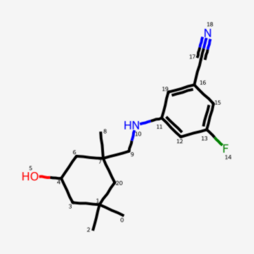 CC1(C)CC(O)CC(C)(CNc2cc(F)cc(C#N)c2)C1